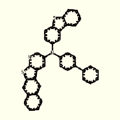 c1ccc(-c2ccc(N(c3ccc4sc5ccccc5c4c3)c3cnc4sc5cc6ccccc6cc5c4c3)cc2)cc1